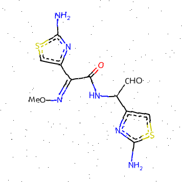 CON=C(C(=O)NC([C]=O)c1csc(N)n1)c1csc(N)n1